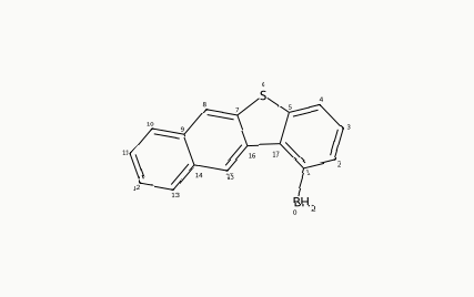 Bc1cccc2sc3cc4ccccc4cc3c12